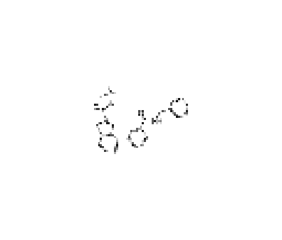 CC(C)(C)OC(=O)N1Cc2cccc(-c3cccc(C(=O)NCc4ccccc4)c3)c2C1